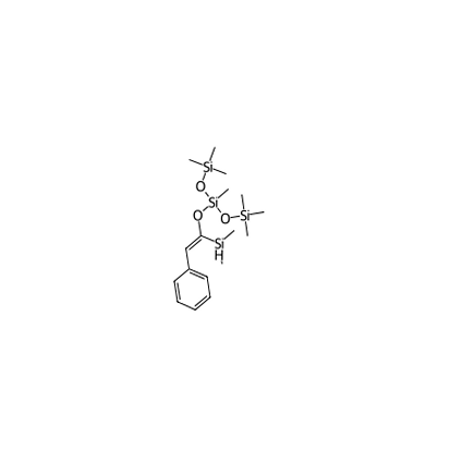 C[SiH](C)C(=Cc1ccccc1)O[Si](C)(O[Si](C)(C)C)O[Si](C)(C)C